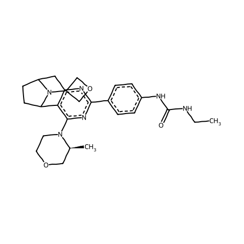 CCNC(=O)Nc1ccc(-c2nc3c(c(N4CCOC[C@@H]4C)n2)C2CCC(C3)N2C2COC2)cc1